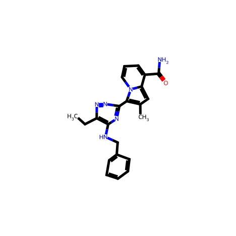 CCc1nnc(-c2c(C)cc3c(C(N)=O)cccn23)nc1NCc1ccccc1